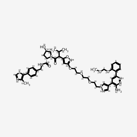 COCOc1ccccc1-c1cc(-c2cnn(CCOCCOCCOc3cc(C(C(=O)N4C[C@H](O)C[C@H]4C(=O)NCc4ccc(-c5scnc5C)cc4)C(C)C)on3)c2)c(N)nn1